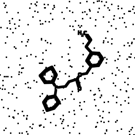 C=CCc1cccc(COC(=O)CCP(c2ccccc2)c2ccccc2)c1